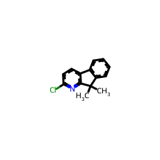 CC1(C)c2ccccc2-c2ccc(Cl)nc21